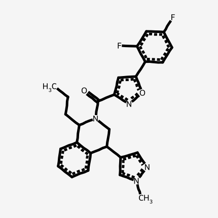 CCCC1c2ccccc2C(c2cnn(C)c2)CN1C(=O)c1cc(-c2ccc(F)cc2F)on1